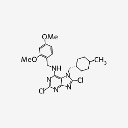 COc1ccc(CNc2nc(Cl)nc3nc(Cl)n(C[C@H]4CC[C@H](C)CC4)c23)c(OC)c1